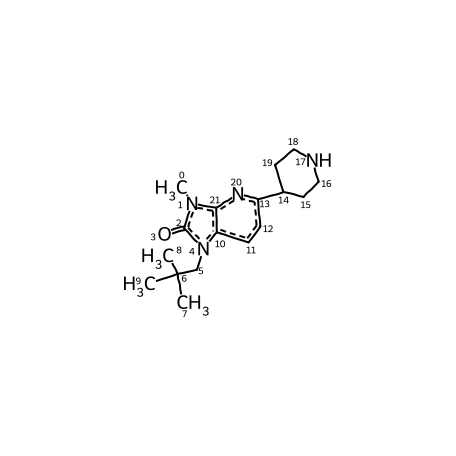 Cn1c(=O)n(CC(C)(C)C)c2ccc(C3CCNCC3)nc21